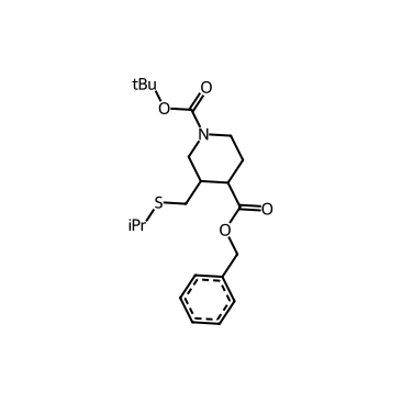 CC(C)SCC1CN(C(=O)OC(C)(C)C)CCC1C(=O)OCc1ccccc1